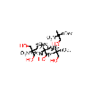 CCCCCCCCC(CO)(CCCCCCC)[N+](=O)[O-].CCCCCCCCCC(CO)(CCCCCC)[N+](=O)[O-].CCCCCCCCCCC(C)(CO)[N+](=O)[O-].CCCCCCCCCCCC(CO)(CO)[N+](=O)[O-]